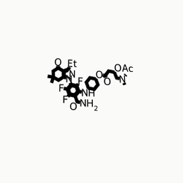 CCc1nn(-c2c(F)c(F)c(C(N)=O)c(NC3CCC(OC(=O)CC(CN(C)C)OC(C)=O)CC3)c2F)c2c1C(=O)CC(C)(C)C2